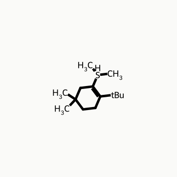 C[SH](C)C1=C(C(C)(C)C)CCC(C)(C)C1